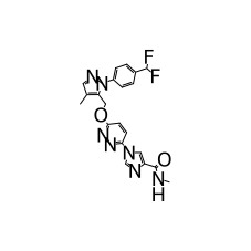 CNC(=O)c1cn(-c2ccc(OCc3c(C)cnn3-c3ccc(C(F)F)cc3)nn2)cn1